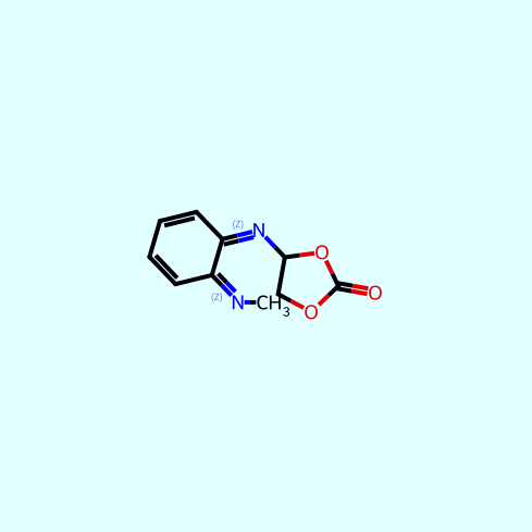 C/N=C1/C=CC=C/C1=N/C1COC(=O)O1